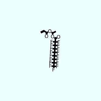 C=CC(=O)OC(C)OC(=O)C(F)(F)C(F)(F)C(F)(F)C(F)(F)C(F)(F)C(F)(F)C(F)(F)C(F)(F)F